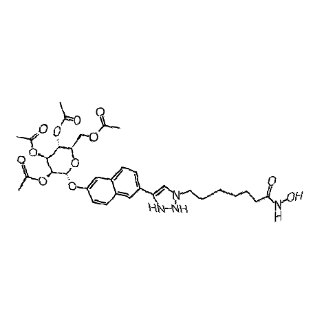 CC(=O)OC[C@H]1O[C@H](Oc2ccc3cc(C4=CN(CCCCCCC(=O)NO)NN4)ccc3c2)[C@@H](OC(C)=O)[C@@H](OC(C)=O)[C@@H]1OC(C)=O